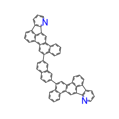 c1cnc2c(c1)-c1cccc3c1c-2cc1c2ccccc2c(-c2ccc4ccc(-c5cc6c7cccc8c7c(cc6c6ccccc56)-c5ncccc5-8)cc4c2)cc31